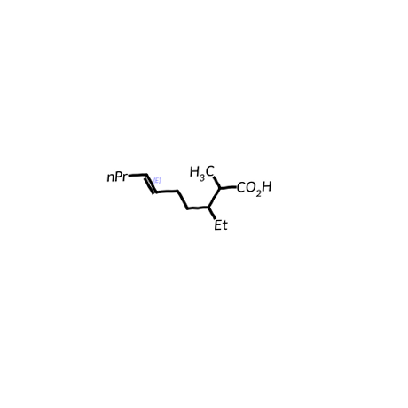 CCC/C=C/CCC(CC)C(C)C(=O)O